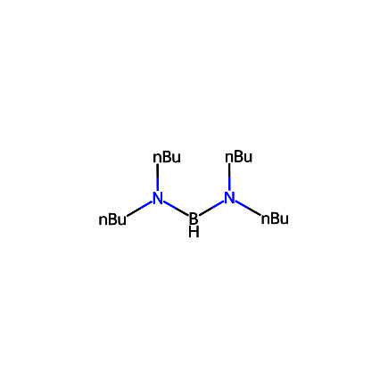 CCCCN(BN(CCCC)CCCC)CCCC